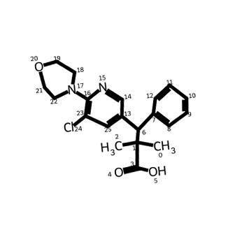 CC(C)(C(=O)O)C(c1ccccc1)c1cnc(N2CCOCC2)c(Cl)c1